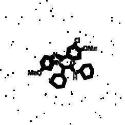 COc1ccc2nc(-c3ccc(OC)c(Cl)c3)n(C(C(=O)NC3CCCCC3)C3CCCCC3)c2c1